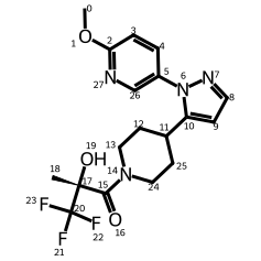 COc1ccc(-n2nccc2C2CCN(C(=O)[C@@](C)(O)C(F)(F)F)CC2)cn1